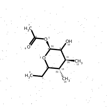 CCC1O[C@@H](OC(C)=O)C(O)[C@@H](C)[C@@H]1C